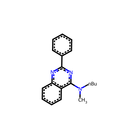 CCCCN(C)c1nc(-c2ccccc2)nc2ccccc12